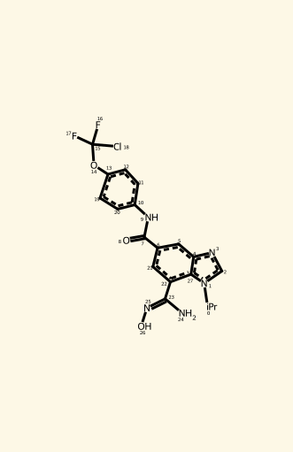 CC(C)n1cnc2cc(C(=O)Nc3ccc(OC(F)(F)Cl)cc3)cc(/C(N)=N/O)c21